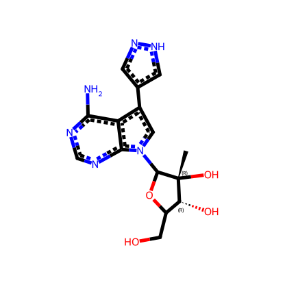 C[C@]1(O)C(n2cc(-c3cn[nH]c3)c3c(N)ncnc32)OC(CO)[C@H]1O